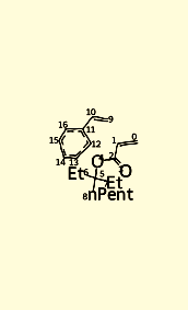 C=CC(=O)OC(CC)(CC)CCCCC.C=Cc1ccccc1